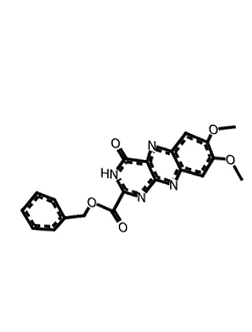 COc1cc2nc3nc(C(=O)OCc4ccccc4)[nH]c(=O)c3nc2cc1OC